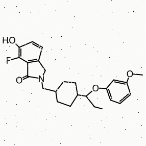 CCC(Oc1cccc(OC)c1)C1CCC(CN2Cc3ccc(O)c(F)c3C2=O)CC1